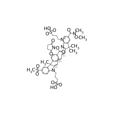 CON(C)C(=O)c1cc2c([n+](CCCS(=O)(=O)O)c1)N=C(/C=C/C=C/C=C1/N(CCCS(=O)(=O)O)c3ccc(S(C)(=O)=O)cc3C1(C)c1ccc(C(=O)ON3C(=O)CCC3=O)cc1)C2(C)C